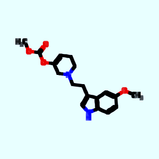 COC(=O)OC1=CCCN(CCc2c[nH]c3ccc(OC)cc23)C1